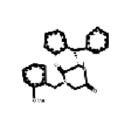 COc1ccccc1CN1CC(=O)N[C@@H](C(c2ccccc2)c2ccccc2)C1=O